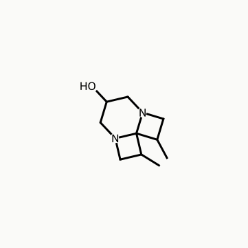 CC1CN2CC(O)CN3CC(C)C123